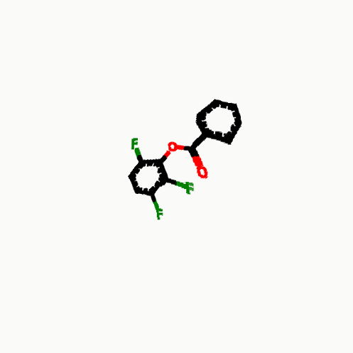 O=C(Oc1c(F)ccc(F)c1F)c1ccccc1